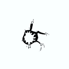 Cc1[nH]ccc(=O)c1C